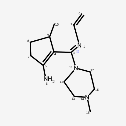 C=C/N=C(\C1=C(N)CCC1C)N1CCN(C)CC1